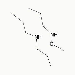 CCCNCCC.CCCNOC